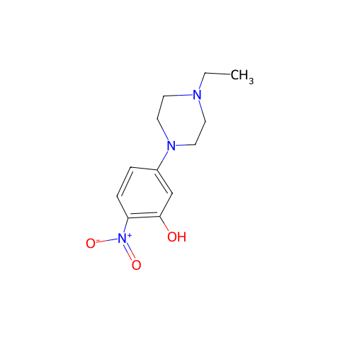 CCN1CCN(c2ccc([N+](=O)[O-])c(O)c2)CC1